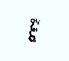 [CH2]CCNCc1ccsc1